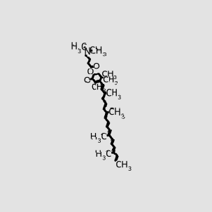 C/C=C/C(C)=C/C=C/C(C)=C/C=C/C=C(C)/C=C/C=C(C)/C=C/C1=C(C)C(=O)C(OC(=O)CCCN(C)C)CC1(C)C